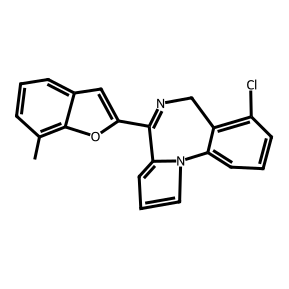 Cc1cccc2cc(C3=NCc4c(Cl)cccc4-n4cccc43)oc12